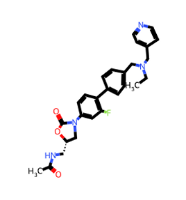 CCN(Cc1ccncc1)Cc1ccc(-c2ccc(N3C[C@H](CNC(C)=O)OC3=O)cc2F)cc1